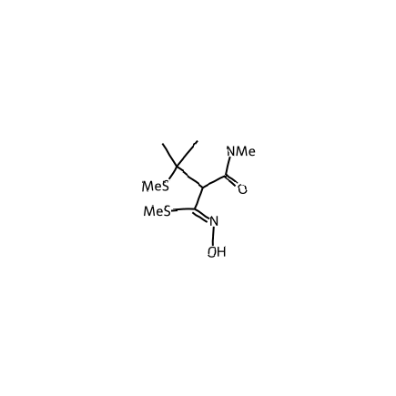 CNC(=O)C(C(=NO)SC)C(C)(C)SC